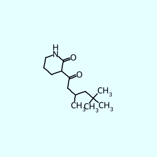 CC(CC(=O)C1CCCNC1=O)CC(C)(C)C